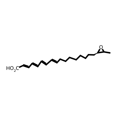 CC1O[C@@H]1CCCCCCCCC=CC=CC=CC=CC(=O)O